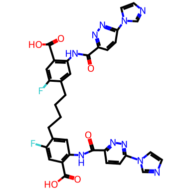 O=C(Nc1cc(CCCCc2cc(NC(=O)c3ccc(-n4ccnc4)nn3)c(C(=O)O)cc2F)c(F)cc1C(=O)O)c1ccc(-n2ccnc2)nn1